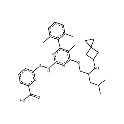 Cc1cccc(C)c1-c1nc(NSc2cccc(C(=O)O)n2)nc(OCC(CC(C)C)NC2CC3(CC3)C2)c1C